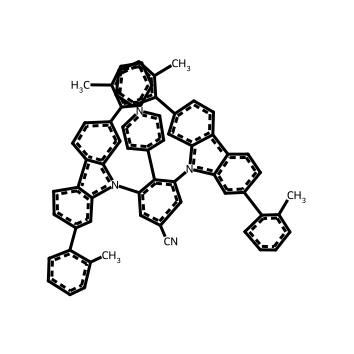 Cc1ccccc1-c1ccc2c3ccc(-c4ccccc4C)cc3n(-c3cc(C#N)cc(-n4c5cc(-c6ccccc6C)ccc5c5ccc(-c6ccccc6C)cc54)c3-c3ccncc3)c2c1